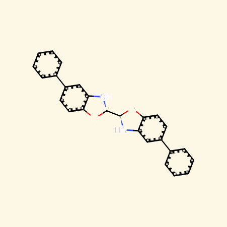 c1ccc(-c2ccc3c(c2)N[C@@H]([C@@H]2Nc4cc(-c5ccccc5)ccc4O2)O3)cc1